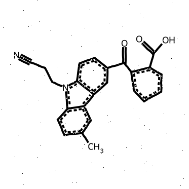 Cc1ccc2c(c1)c1cc(C(=O)c3ccccc3C(=O)O)ccc1n2CCC#N